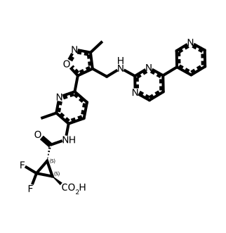 Cc1nc(-c2onc(C)c2CNc2nccc(-c3cccnc3)n2)ccc1NC(=O)[C@@H]1[C@@H](C(=O)O)C1(F)F